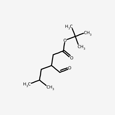 CC(C)CC(C=O)CC(=O)OC(C)(C)C